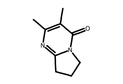 Cc1nc2n(c(=O)c1C)CCC2